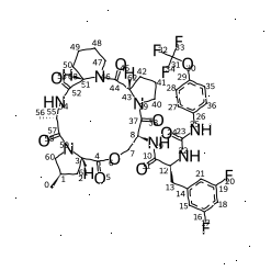 C[C@@H]1C[C@H]2C(=O)OC[C@H](NC(=O)[C@H](Cc3cc(F)cc(F)c3)NC(=O)Nc3ccc(OC(F)(F)F)cc3)C(=O)N3CCC[C@H]3C(=O)N3CCCC[C@H]3C(=O)N[C@@H](C)C(=O)N2C1